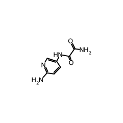 NC(=O)C(=O)Nc1ccc(N)nc1